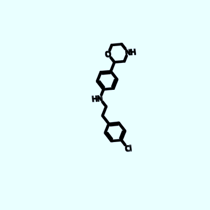 Clc1ccc(CCNc2ccc(C3CNCCO3)cc2)cc1